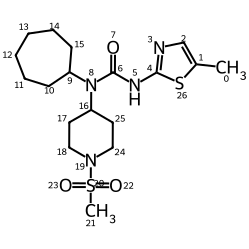 Cc1cnc(NC(=O)N(C2CCCCCC2)C2CCN(S(C)(=O)=O)CC2)s1